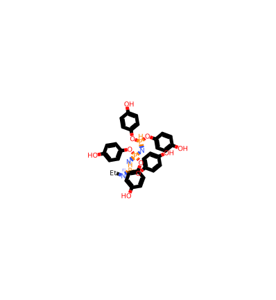 CC/N=[PH](\N=P(N=[PH](Oc1ccc(O)cc1)Oc1ccc(O)cc1)(Oc1ccc(O)cc1)Oc1ccc(O)cc1)Oc1ccc(O)cc1